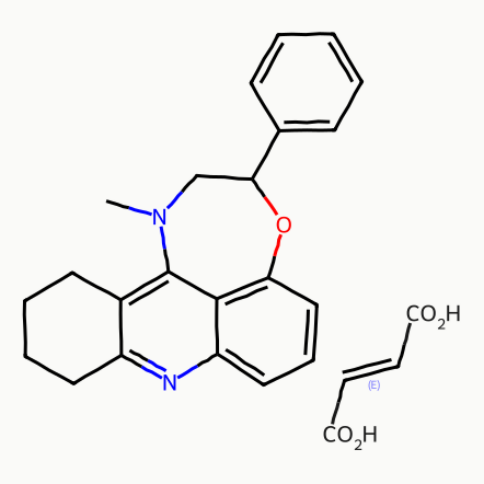 CN1CC(c2ccccc2)Oc2cccc3nc4c(c1c23)CCCC4.O=C(O)/C=C/C(=O)O